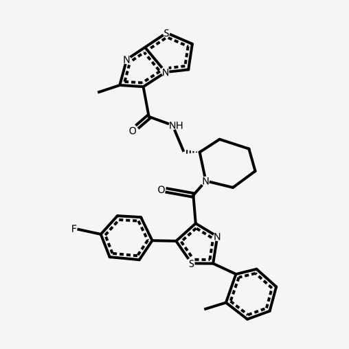 Cc1ccccc1-c1nc(C(=O)N2CCCC[C@H]2CNC(=O)c2c(C)nc3sccn23)c(-c2ccc(F)cc2)s1